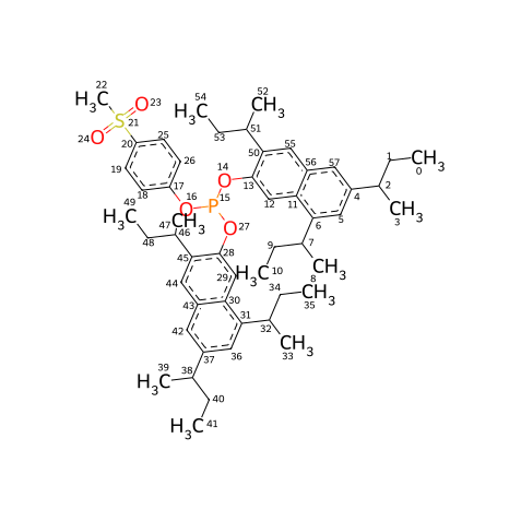 CCC(C)c1cc(C(C)CC)c2cc(OP(Oc3ccc(S(C)(=O)=O)cc3)Oc3cc4c(C(C)CC)cc(C(C)CC)cc4cc3C(C)CC)c(C(C)CC)cc2c1